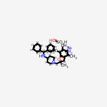 Cc1c(C)c2c(c(C)c1N)C[C@@](C)(CN1CCC(NC(c3ccccc3)c3ccccc3)CC1)O2.O=S(=O)(O)O